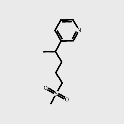 C[C](CCCS(C)(=O)=O)c1cccnc1